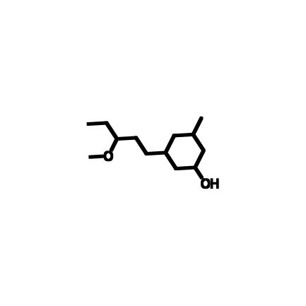 CCC(CCC1CC(C)CC(O)C1)OC